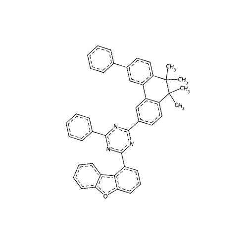 CC1(C)c2ccc(-c3ccccc3)cc2-c2cc(-c3nc(-c4ccccc4)nc(-c4cccc5oc6ccccc6c45)n3)ccc2C1(C)C